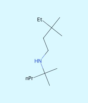 CCCC(C)(C)NCCC(C)(C)CC